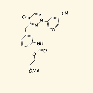 COCCOC(=O)Nc1cccc(Cc2nn(-c3cncc(C#N)c3)ccc2=O)c1